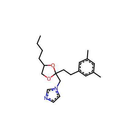 CCCCC1COC(CCc2cc(C)cc(C)c2)(Cn2ccnc2)O1